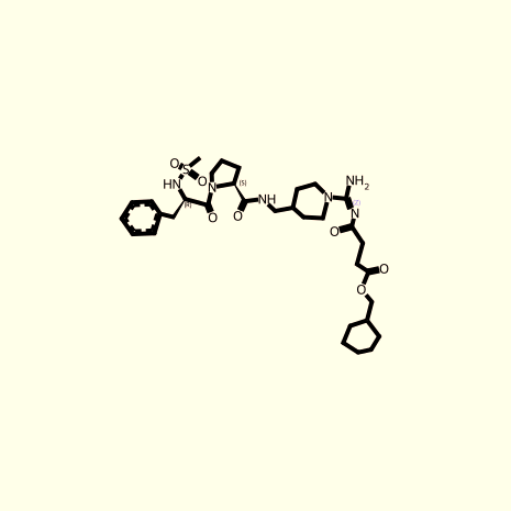 CS(=O)(=O)N[C@H](Cc1ccccc1)C(=O)N1CCC[C@H]1C(=O)NCC1CCN(/C(N)=N\C(=O)CCC(=O)OCC2CCCCC2)CC1